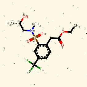 CCOC(=O)Cc1ccc(C(F)(F)F)cc1S(=O)(=O)N(C)C[C@H](C)O